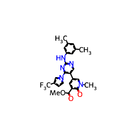 COC(=O)c1cc(-c2cnc(Nc3cc(C)cc(C)c3)nc2-n2ccc(C(F)(F)F)c2)cn(C)c1=O